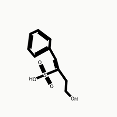 O=S(=O)(O)C(=Cc1ccccc1)CCO